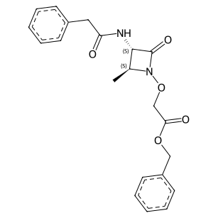 C[C@H]1[C@H](NC(=O)Cc2ccccc2)C(=O)N1OCC(=O)OCc1ccccc1